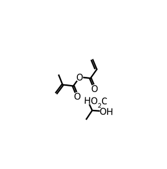 C=CC(=O)OC(=O)C(=C)C.CC(O)C(=O)O